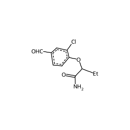 CCC(Oc1ccc(C=O)cc1Cl)C(N)=O